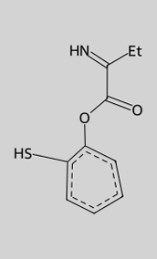 CCC(=N)C(=O)Oc1ccccc1S